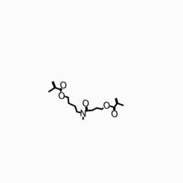 C=C(C)C(=O)OCCCCN(C)C(=O)CCCOC(=O)C(=C)C